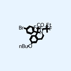 CCCCOc1ccc2c(c1)CCN(CC(C)(C)F)C2(c1ccc(Br)cc1)C(F)(F)C(=O)OCC